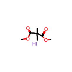 COC(=O)C(C)(C)C(=O)OC.I